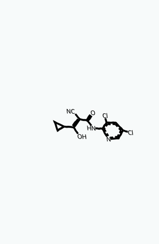 N#CC(C(=O)Nc1ncc(Cl)cc1Cl)=C(O)C1CC1